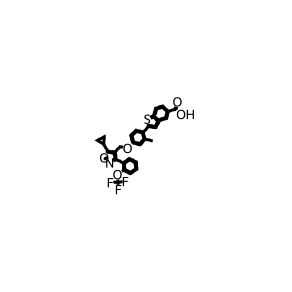 Cc1cc(OCc2c(-c3ccccc3OC(F)(F)F)noc2C2CC2)ccc1-c1cc2cc(C(=O)O)ccc2s1